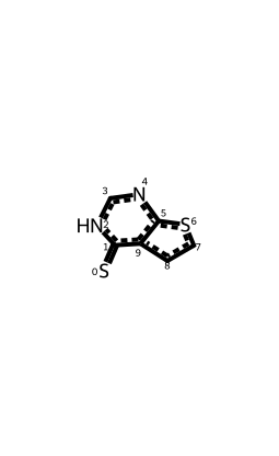 S=c1[nH]cnc2sccc12